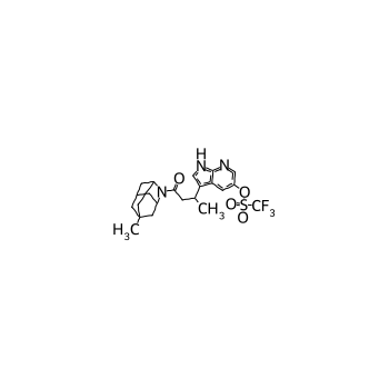 CC(CC(=O)N1C2CC3CC1CC(C)(C3)C2)c1c[nH]c2ncc(OS(=O)(=O)C(F)(F)F)cc12